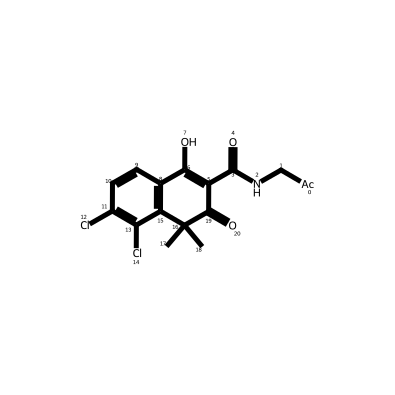 CC(=O)CNC(=O)C1=C(O)c2ccc(Cl)c(Cl)c2C(C)(C)C1=O